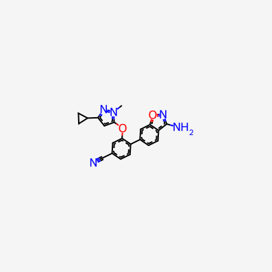 Cn1nc(C2CC2)cc1Oc1cc(C#N)ccc1-c1ccc2c(N)noc2c1